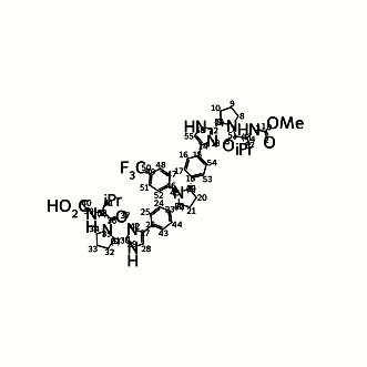 COC(=O)N[C@H](C(=O)N1CCC[C@H]1c1nc(-c2ccc([C@@H]3CC[C@H](c4ccc(-c5c[nH]c([C@@H]6CCCN6C(=O)[C@@H](NC(=O)O)C(C)C)n5)cc4)N3c3ccc(C(F)(F)F)cc3)cc2)c[nH]1)C(C)C